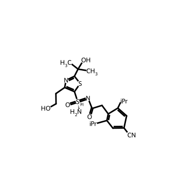 CC(C)c1cc(C#N)cc(C(C)C)c1CC(=O)N=[S@@](N)(=O)c1sc(C(C)(C)O)nc1CCO